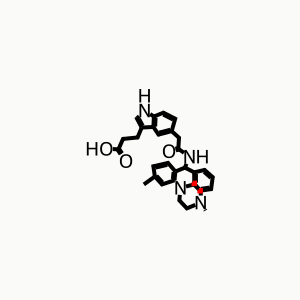 Cc1ccc(C(NC(=O)Cc2ccc3[nH]cc(CCC(=O)O)c3c2)c2ccccc2)c(N2CCN(C)CC2)c1